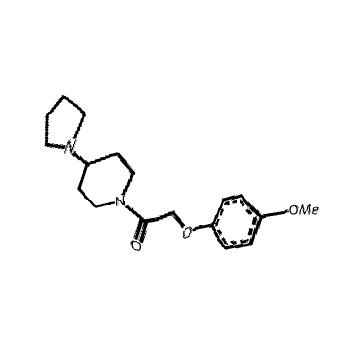 COc1ccc(OCC(=O)N2CCC(N3CCCC3)CC2)cc1